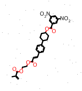 C=C(C)C(=O)OCCOC(=O)/C=C/c1ccc(C2CCC(OC(=O)c3cc([N+](=O)[O-])cc([N+](=O)[O-])c3)CC2)cc1